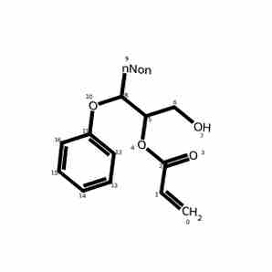 C=CC(=O)OC(CO)C(CCCCCCCCC)Oc1ccccc1